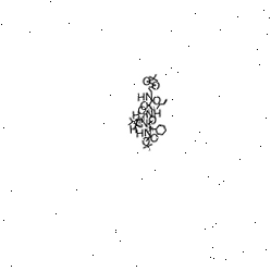 C=CCC[C@H](NC(=O)[C@@H]1[C@@H]2[C@H](CN1C(=O)[C@@H](NC(=O)OC(C)(C)C)C1CCCCC1)C2(C)C)C(=O)C(=O)NCCS(=O)(=O)C(C)(C)C